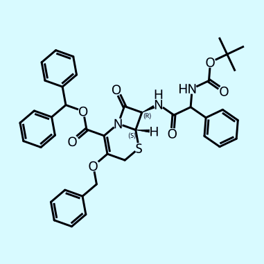 CC(C)(C)OC(=O)NC(C(=O)N[C@@H]1C(=O)N2C(C(=O)OC(c3ccccc3)c3ccccc3)=C(OCc3ccccc3)CS[C@@H]12)c1ccccc1